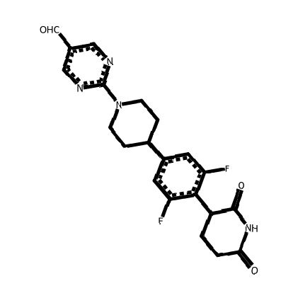 O=Cc1cnc(N2CCC(c3cc(F)c(C4CCC(=O)NC4=O)c(F)c3)CC2)nc1